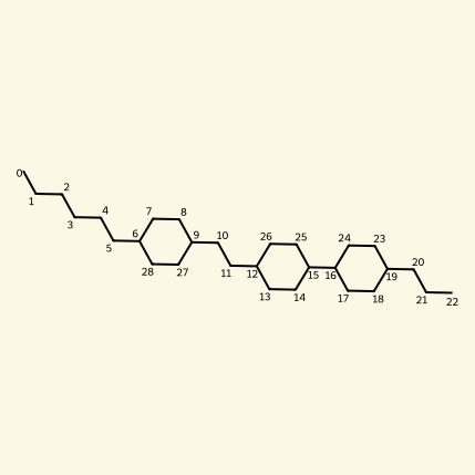 CCCCCCC1CCC(CCC2CCC(C3CCC(CCC)CC3)CC2)CC1